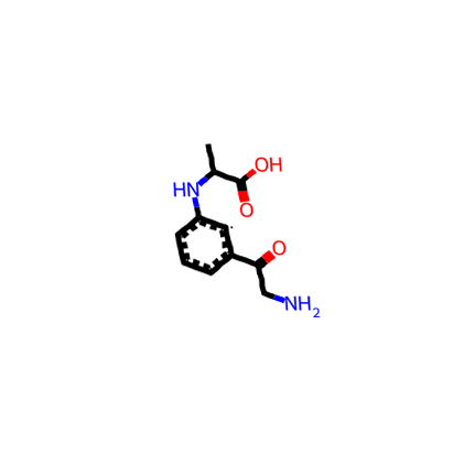 CC(Nc1[c]c(C(=O)CN)ccc1)C(=O)O